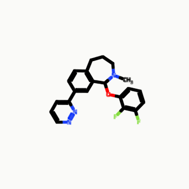 CN1CCCc2ccc(-c3cccnn3)cc2C1Oc1cccc(F)c1F